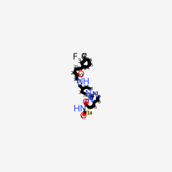 O=C1NC(=O)/C(=C\c2ccnc(N3CCC(CNCc4ccc(-c5cccc(C(F)(F)F)c5)o4)CC3)n2)S1